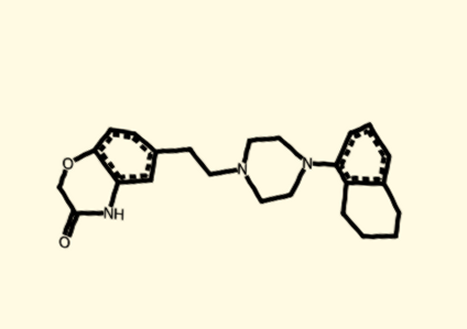 O=C1COc2ccc(CCN3CCN(c4cccc5c4CCCC5)CC3)cc2N1